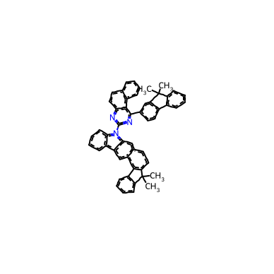 CC1(C)c2ccccc2-c2ccc(-c3nc(-n4c5ccccc5c5cc6c7c(ccc6cc54)C(C)(C)c4ccccc4-7)nc4ccc5ccccc5c34)cc21